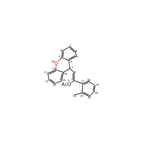 CC(=O)OC(=CC1c2ccccc2Oc2ccccc21)c1ccccc1C